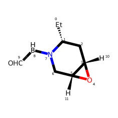 CC[C@@H]1C[C@@H]2O[C@@H]2CN1BC=O